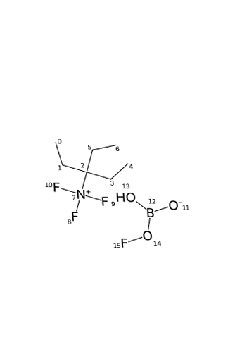 CCC(CC)(CC)[N+](F)(F)F.[O-]B(O)OF